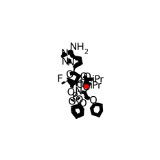 CC(C)C(=O)O[C@H]1[C@H](c2ccc3c(N)ncnn23)O[C@]2(CF)C(O[P@@](=O)(N[C@@H](C)C(=O)OC3CCCCC3)Oc3ccccc3)[C@]12OC(=O)C(C)C